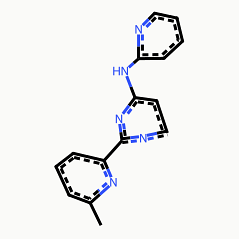 Cc1cccc(-c2nccc(Nc3ccccn3)n2)n1